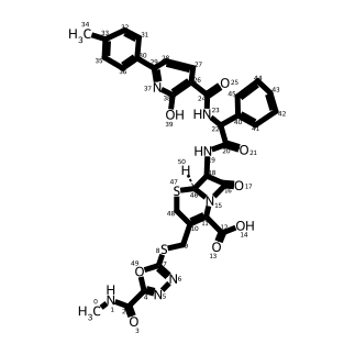 CNC(=O)c1nnc(SCC2=C(C(=O)O)N3C(=O)C(NC(=O)C(NC(=O)c4ccc(-c5ccc(C)cc5)nc4O)c4ccccc4)[C@@H]3SC2)o1